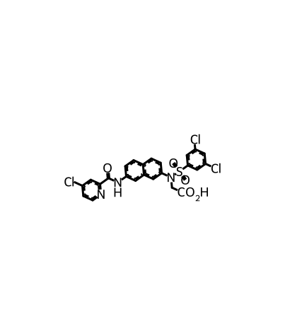 O=C(O)CN(c1ccc2ccc(NC(=O)c3cc(Cl)ccn3)cc2c1)S(=O)(=O)c1cc(Cl)cc(Cl)c1